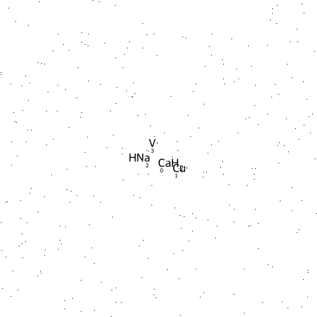 [CaH2].[Cu].[NaH].[V]